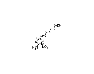 Nc1ccc(OCCCCCCO)cc1[N+](=O)[O-]